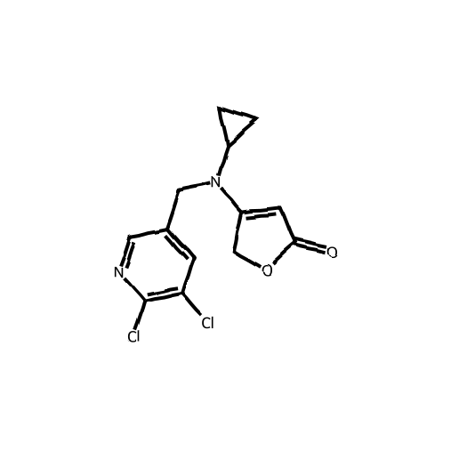 O=C1C=C(N(Cc2cnc(Cl)c(Cl)c2)C2CC2)CO1